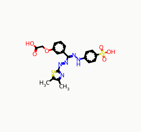 Cc1nc(N=NC(=NNc2ccc(S(=O)(=O)O)cc2)c2cccc(OCC(=O)O)c2)sc1C